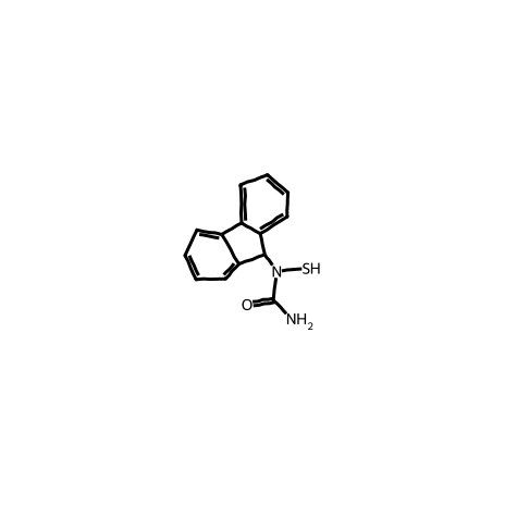 NC(=O)N(S)C1c2ccccc2-c2ccccc21